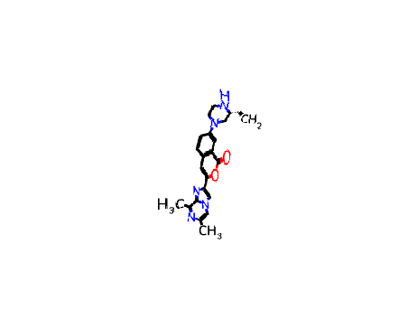 C=C[C@@H]1CN(c2ccc3cc(-c4cn5cc(C)nc(C)c5n4)oc(=O)c3c2)CCN1